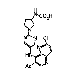 CC(=O)c1cnc2ccc(Cl)nc2c1Nc1cnc(N2CCC(NC(=O)O)C2)nc1